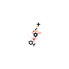 CC(C)[C@H]1CC[C@H](C)C[C@@H]1OC(=O)Oc1cc(O)c2c(c1)OCP2(=O)CCSCC(C)(C)C